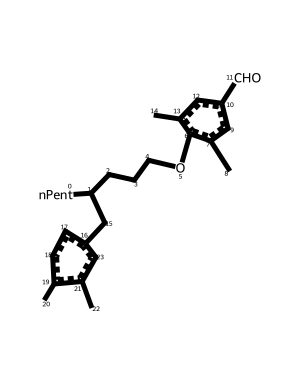 CCCCCC(CCCOc1c(C)cc(C=O)cc1C)Cc1ccc(C)c(C)c1